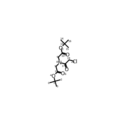 CC(C)(C)OC(=O)CN(CC(=O)OC(C)(C)C)C(=O)CCl